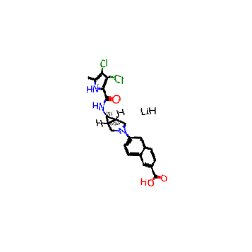 Cc1[nH]c(C(=O)N[C@H]2[C@@H]3CN(c4ccc5cc(C(=O)O)ccc5c4)C[C@@H]32)c(Cl)c1Cl.[LiH]